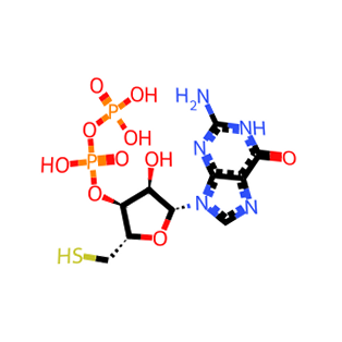 Nc1nc2c(ncn2[C@@H]2O[C@H](CS)[C@@H](OP(=O)(O)OP(=O)(O)O)[C@H]2O)c(=O)[nH]1